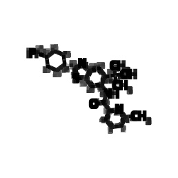 Cc1cccc(C(=O)Nc2cc3sc([C@H]4CC[C@H](C(C)C)CC4)nc3cc2C(C)(C)O)n1